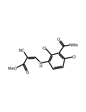 CNC(=O)c1c(Cl)ccc(NC=C(C#N)C(=O)OC)c1Cl